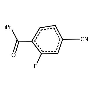 CC(C)C(=O)c1ccc(C#N)cc1F